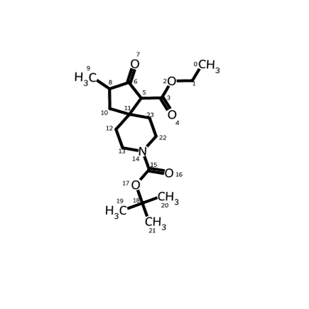 CCOC(=O)C1C(=O)C(C)CC12CCN(C(=O)OC(C)(C)C)CC2